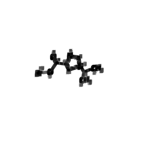 CC(C)n1cnc(C(=O)OBr)c1